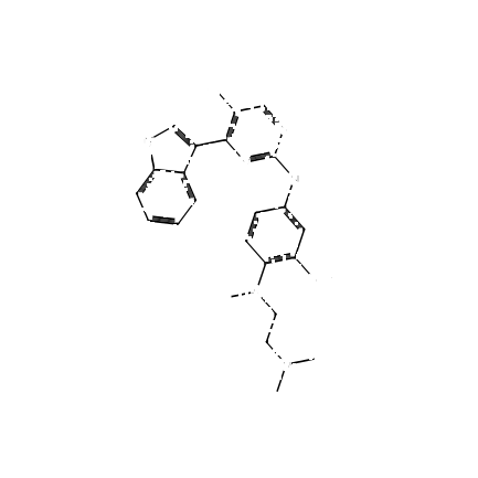 CCN(CCN(C)C)c1ccc(Nc2ncc(Cl)c(-c3c[nH]c4ccccc34)n2)cc1NC(C)=O